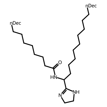 CCCCCCCCCCCCCCCCCCCC(NC(=O)CCCCCCCCCCCCCCCCC)C1=NCCN1